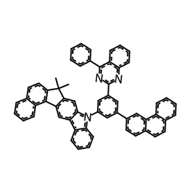 CC1(C)c2cc3c(cc2-c2c1ccc1ccccc21)c1ccccc1n3-c1cc(-c2ccc3ccc4ccccc4c3c2)cc(-c2nc(-c3ccccc3)c3ccccc3n2)c1